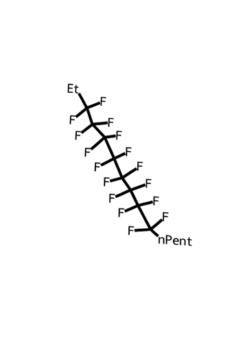 CCCCCC(F)(F)C(F)(F)C(F)(F)C(F)(F)C(F)(F)C(F)(F)C(F)(F)C(F)(F)CC